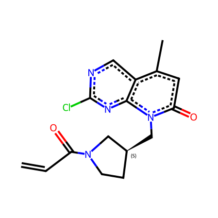 C=CC(=O)N1CC[C@H](Cn2c(=O)cc(C)c3cnc(Cl)nc32)C1